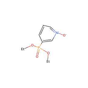 CCOP(=O)(OCC)c1ccc[n+]([O-])c1